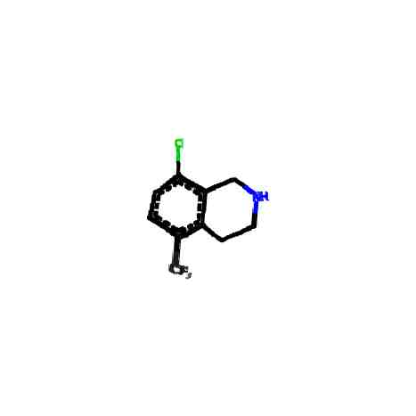 FC(F)(F)c1ccc(Cl)c2c1CCNC2